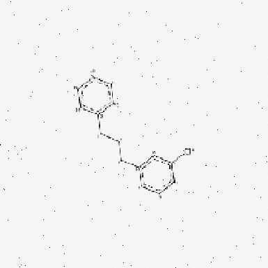 Clc1cccc(CCCc2ccncc2)c1